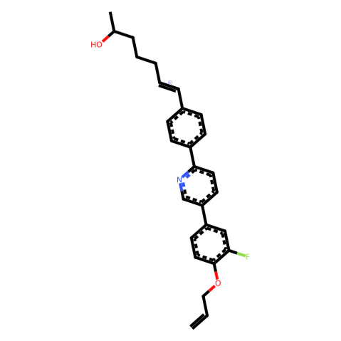 C=CCOc1ccc(-c2ccc(-c3ccc(/C=C/CCCC(C)O)cc3)nc2)cc1F